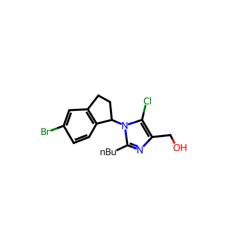 CCCCc1nc(CO)c(Cl)n1C1CCc2cc(Br)ccc21